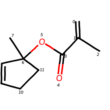 C=C(C)C(=O)OC1(C)C=CCC1